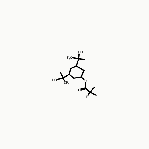 CC(F)(F)C(=O)OC1CC(C(C)(O)C(F)(F)F)CC(C(C)(O)C(F)(F)F)C1